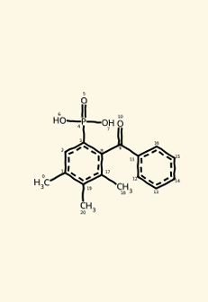 Cc1cc(P(=O)(O)O)c(C(=O)c2ccccc2)c(C)c1C